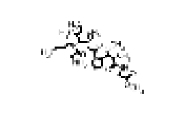 CCCCN(C(=O)CN)[C@@H]([C@@H](C)CC)[C@@H](CC(=O)N1CCCC1[C@H](OC)[C@@H](C)C(=O)NCC(=O)OC)OC